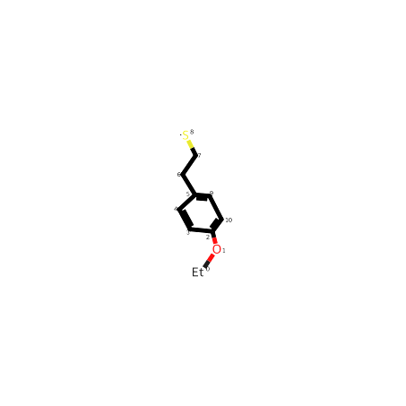 CCOc1ccc(CC[S])cc1